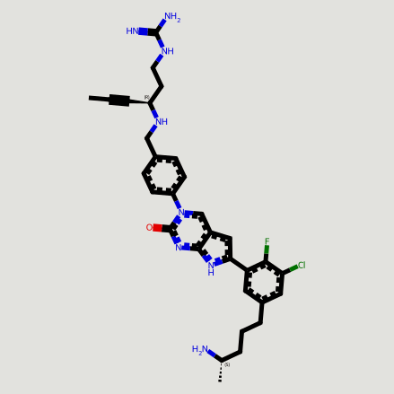 CC#C[C@@H](CCNC(=N)N)NCc1ccc(-n2cc3cc(-c4cc(CCC[C@H](C)N)cc(Cl)c4F)[nH]c3nc2=O)cc1